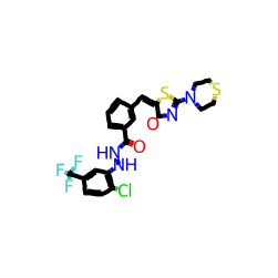 O=C1N=C(N2CCSCC2)S/C1=C/c1cccc(C(=O)NNc2cc(C(F)(F)F)ccc2Cl)c1